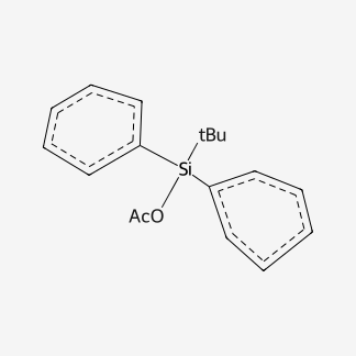 [CH2]C(=O)O[Si](c1ccccc1)(c1ccccc1)C(C)(C)C